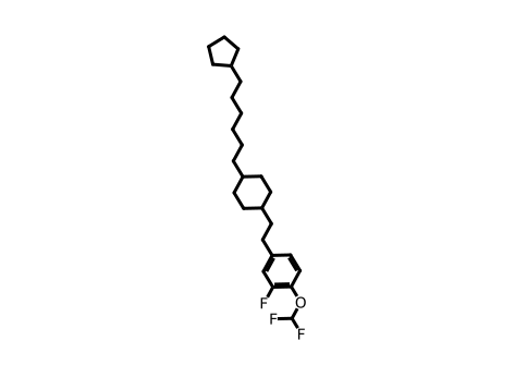 Fc1cc(CCC2CCC(CCCCCCC3CCCC3)CC2)ccc1OC(F)F